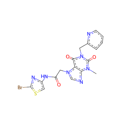 Cn1c(=O)n(Cc2ccccn2)c(=O)c2c1ncn2CC(=O)Nc1csc(Br)n1